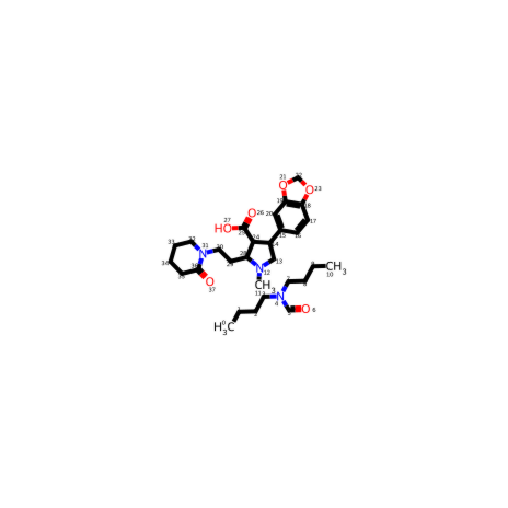 CCCCN(C=O)CCCC.CN1CC(c2ccc3c(c2)OCO3)C(C(=O)O)C1CCN1CCCCC1=O